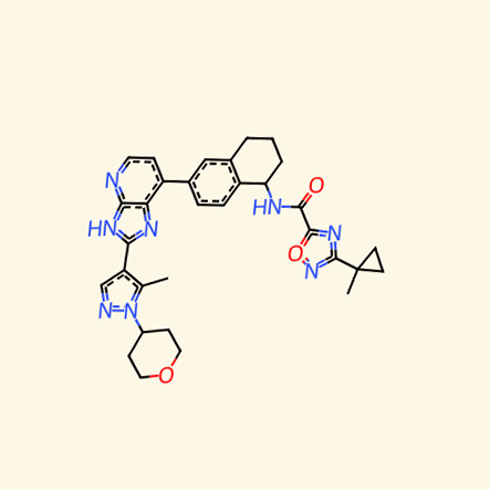 Cc1c(-c2nc3c(-c4ccc5c(c4)CCCC5NC(=O)c4nc(C5(C)CC5)no4)ccnc3[nH]2)cnn1C1CCOCC1